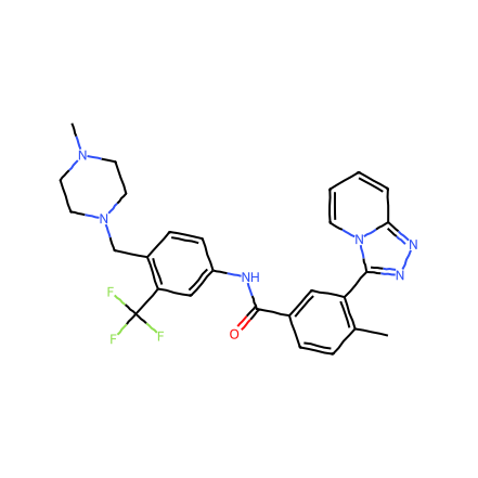 Cc1ccc(C(=O)Nc2ccc(CN3CCN(C)CC3)c(C(F)(F)F)c2)cc1-c1nnc2ccccn12